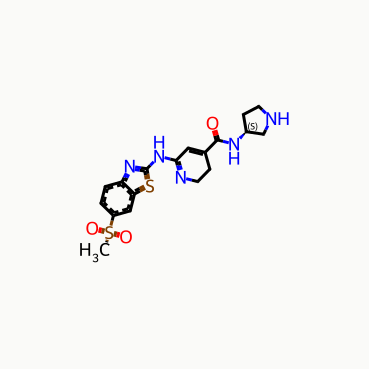 CS(=O)(=O)c1ccc2nc(NC3=NCCC(C(=O)N[C@H]4CCNC4)=C3)sc2c1